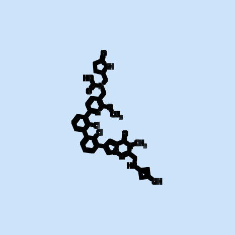 COc1nc(-c2cccc(-c3cccc(-c4cc5c(=O)n(C)c(CNC67CC(O)(C6)C7)nn5c4)c3Cl)c2Cl)ccc1CN(CC1CCC(=O)N1)C(=O)O